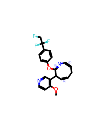 COc1ccncc1C1/C=C\C/C=C\N=C/1Oc1ccc(C(F)(F)CF)cc1